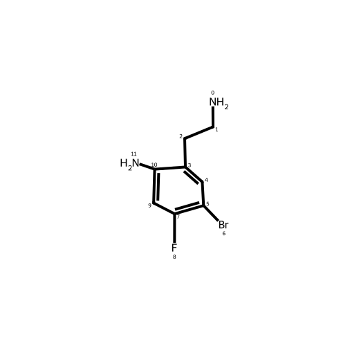 NCCc1cc(Br)c(F)cc1N